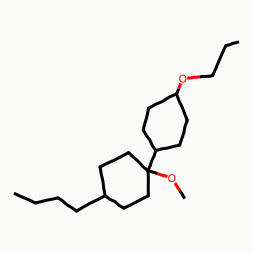 CCCCC1CCC(OC)(C2CCC(OCCC)CC2)CC1